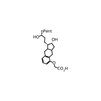 CCCCC[C@H](O)CC[C@@H]1C2Cc3cccc(OCC(=O)O)c3CC2C[C@H]1O